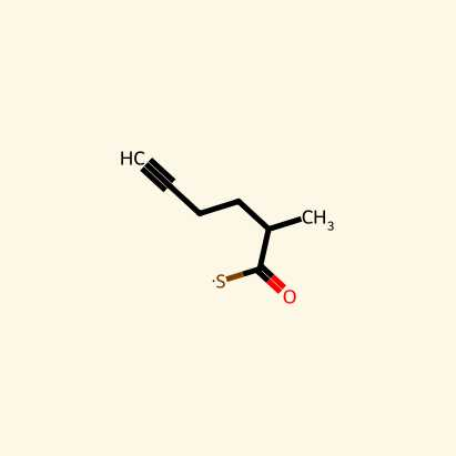 C#CCCC(C)C(=O)[S]